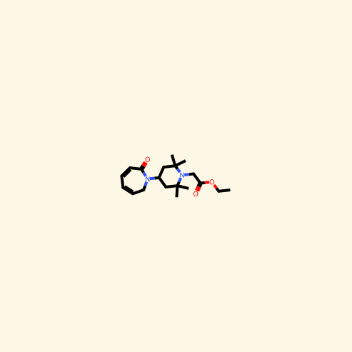 CCOC(=O)CN1C(C)(C)CC(N2CC=CC=CC2=O)CC1(C)C